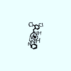 O=C1NC(Cc2ccc(Cl)cc2Cl)CN1Cc1nc2ccccc2[nH]1